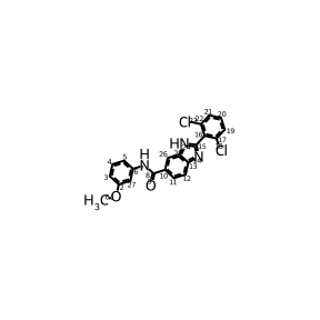 COc1cccc(NC(=O)c2ccc3nc(-c4c(Cl)cccc4Cl)[nH]c3c2)c1